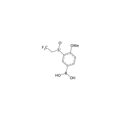 COc1ccc(B(O)O)cc1[S+]([O-])CC(F)(F)F